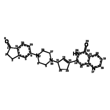 O=C1CCc2cc(N3CCN(C4C=C(c5cc6ncccc6c(=O)[nH]5)CC4)CC3)ccc21